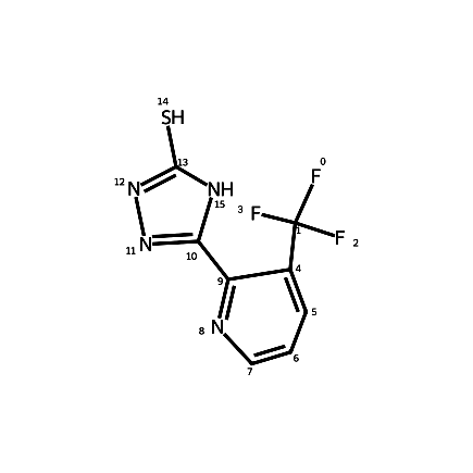 FC(F)(F)c1cccnc1-c1nnc(S)[nH]1